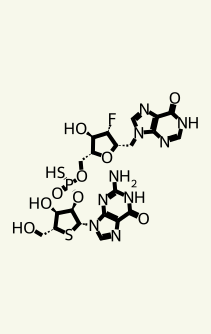 Nc1nc2c(ncn2[C@@H]2S[C@H](CO)[C@@H](O)[C@H]2OP(=O)(S)OC[C@H]2O[C@@H](Cn3cnc4c(=O)[nH]cnc43)[C@@H](F)[C@@H]2O)c(=O)[nH]1